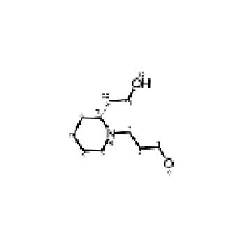 [O]CCCN1CCCC[C@@H]1CCO